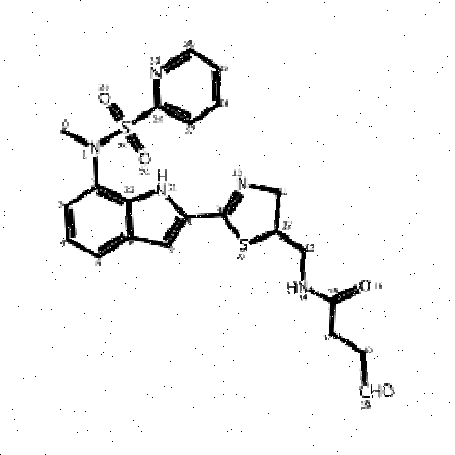 CN(c1cccc2cc(C3=NCC(CNC(=O)CCC=O)S3)[nH]c12)S(=O)(=O)c1ccccn1